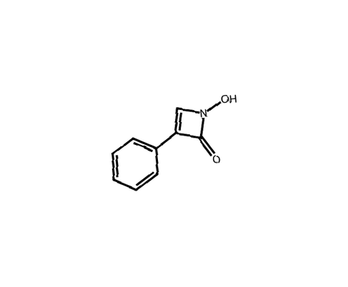 O=C1C(c2ccccc2)=CN1O